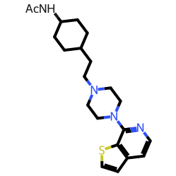 CC(=O)NC1CCC(CCN2CCN(c3nccc4ccsc34)CC2)CC1